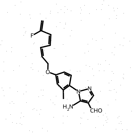 C=C(F)/C=C\C=C/COc1ccc(-n2ncc(C=O)c2N)c(C)c1